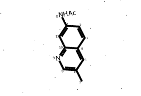 CC(=O)Nc1ccc2cc(C)cnc2c1